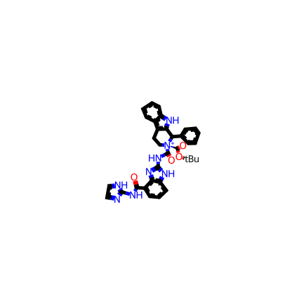 CC(C)(C)OC(=O)[N@@+]1(C(=O)Nc2nc3c(C(=O)Nc4ncc[nH]4)cccc3[nH]2)CCc2c([nH]c3ccccc23)C1c1ccccc1